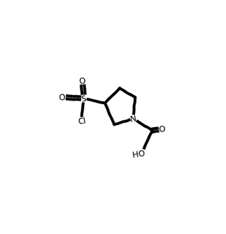 O=C(O)N1CCC(S(=O)(=O)Cl)C1